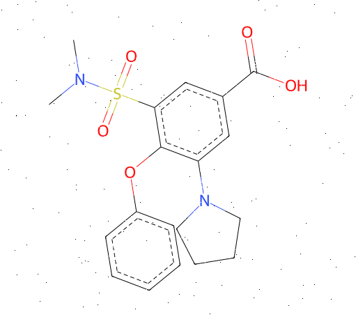 CN(C)S(=O)(=O)c1cc(C(=O)O)cc(N2CCCC2)c1Oc1ccccc1